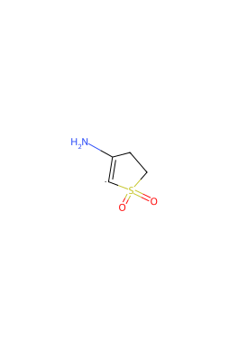 NC1=[C]S(=O)(=O)CC1